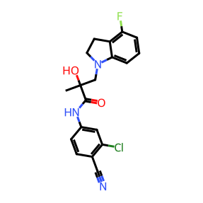 CC(O)(CN1CCc2c(F)cccc21)C(=O)Nc1ccc(C#N)c(Cl)c1